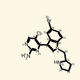 Nc1ncc(Cl)c(-c2cn(CC3CCCN3)c3ccc(Br)cc23)n1